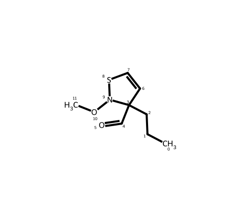 CCCC1(C=O)C=CSN1OC